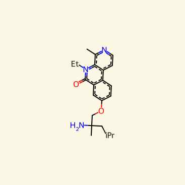 CCn1c(=O)c2cc(OCC(C)(N)CC(C)C)ccc2c2ccnc(C)c21